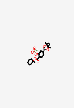 CC1(OC(=O)c2ccc(B3OC(C)(C)C(C)(C)O3)cc2OS(=O)(=O)F)CCCCC1